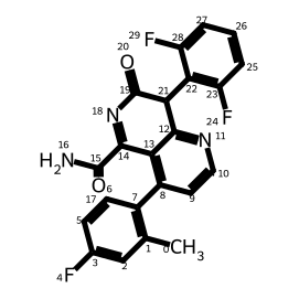 Cc1cc(F)ccc1-c1c[c]nc2c1C(C(N)=O)=NC(=O)C2c1c(F)cccc1F